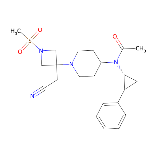 CC(=O)N(C1CCN(C2(CC#N)CN(S(C)(=O)=O)C2)CC1)[C@@H]1CC1c1ccccc1